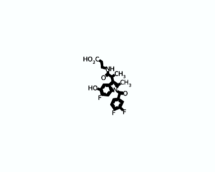 Cc1c(C(C)C(=O)NCCC(=O)O)c2cc(O)c(F)cc2n1C(=O)c1ccc(F)c(F)c1